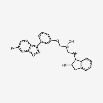 OC1Cc2ccccc2C1NC[C@@H](O)COc1cccc(-c2noc3cc(F)ccc23)c1